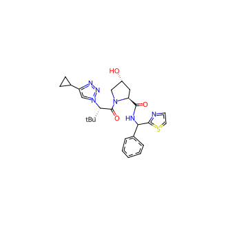 CC(C)(C)[C@@H](C(=O)N1C[C@H](O)C[C@H]1C(=O)NC(c1ccccc1)c1nccs1)n1cc(C2CC2)nn1